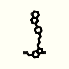 OCc1ccc2[nH]cc(CCCCN3CCN(c4ccc5c(c4)CCCO5)CC3)c2c1